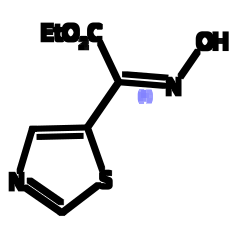 CCOC(=O)/C(=N\O)c1cncs1